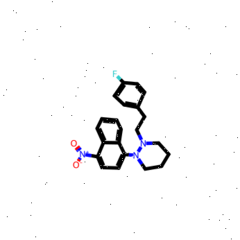 O=[N+]([O-])c1ccc(N2CCCCN2CCc2ccc(F)cc2)c2ccccc12